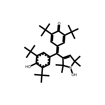 CC(C)(C)C1=CC(=C(C2=CC(C)(C)N(O)C2(C)C)c2cc(C(C)(C)C)c(O)c(C(C)(C)C)c2)C=C(C(C)(C)C)C1=O